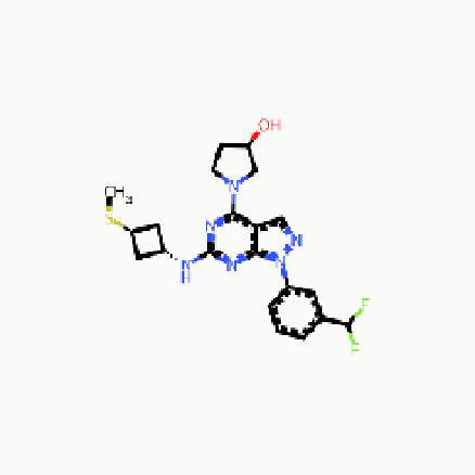 CS[C@H]1C[C@H](Nc2nc(N3CCC(O)C3)c3cnn(-c4cccc(C(F)F)c4)c3n2)C1